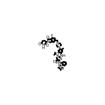 Cc1cc(Nc2ncc(Cl)c(Nc3ccccc3S(=O)(=O)C(C)C)n2)c(OC(C)C)cc1N1CCN(Cc2cc(F)c3c(c2)CN(C2CCC(=O)NC2=O)C3=O)CC1